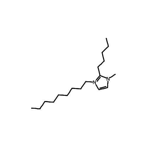 CCCCCCCCC[n+]1ccn(C)c1CCCCC